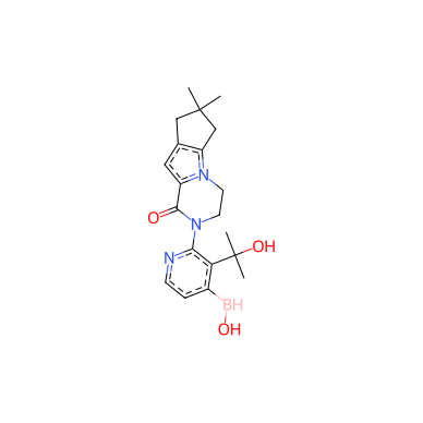 CC1(C)Cc2cc3n(c2C1)CCN(c1nccc(BO)c1C(C)(C)O)C3=O